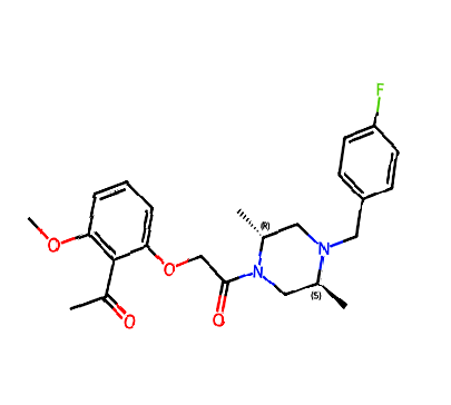 COc1cccc(OCC(=O)N2C[C@H](C)N(Cc3ccc(F)cc3)C[C@H]2C)c1C(C)=O